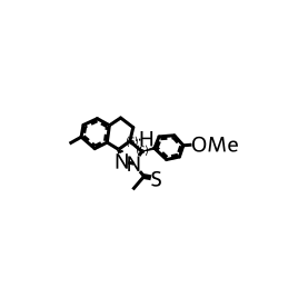 COc1ccc([C@@H]2[C@@H]3CCc4ccc(C)cc4C3=NN2C(C)=S)cc1